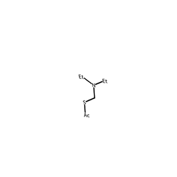 CCN(CC)CSC(C)=O